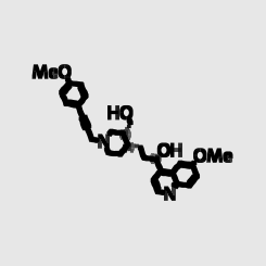 COc1ccc(C#CCN2CC[C@@H](CC[C@@H](O)c3ccnc4ccc(OC)cc34)[C@@H](CO)C2)cc1